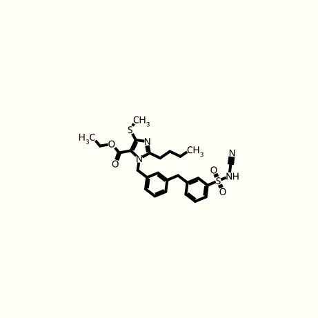 CCCCc1nc(SC)c(C(=O)OCC)n1Cc1cccc(Cc2cccc(S(=O)(=O)NC#N)c2)c1